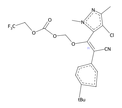 Cc1nn(C)c(/C(OCOC(=O)OCC(F)(F)F)=C(\C#N)c2ccc(C(C)(C)C)cc2)c1Cl